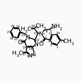 Cc1ccc(C(=O)N(CCN)C(c2nc3snc(C)c3c(=O)n2Cc2ccccc2)C(C)C)cc1